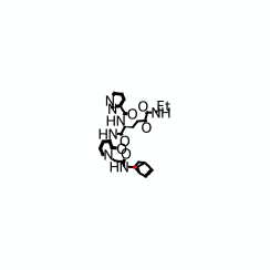 CCNC(=O)C(=O)CC[C@H](NC(=O)c1cccnn1)C(=O)Nc1cccn(CC(=O)NC2CC3C=CC2C3)c1=O